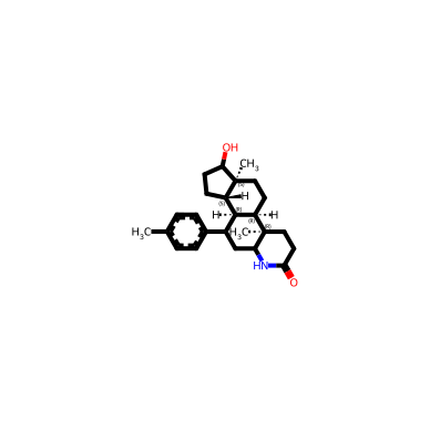 Cc1ccc(C2CC3NC(=O)CC[C@]3(C)[C@@H]3CC[C@]4(C)C(O)CC[C@H]4[C@H]23)cc1